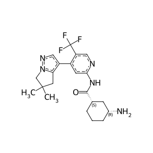 CC1(C)Cc2c(-c3cc(NC(=O)[C@H]4CCC[C@@H](N)C4)ncc3C(F)(F)F)cnn2C1